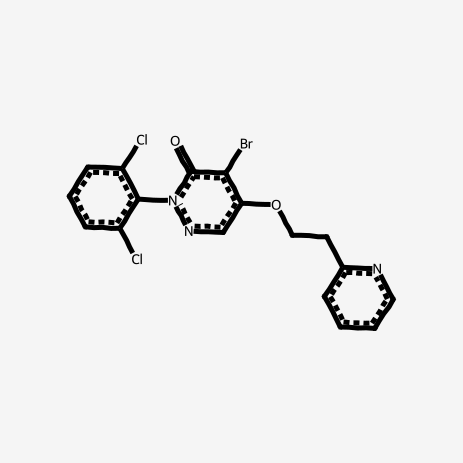 O=c1c(Br)c(OCCc2ccccn2)cnn1-c1c(Cl)cccc1Cl